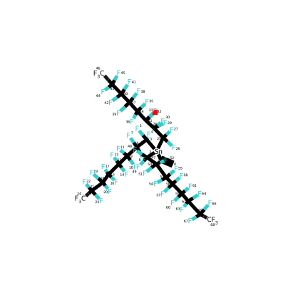 C#[C][Sn]([C](F)(F)C(F)(F)C(F)(F)C(F)(F)C(F)(F)C(F)(F)C(F)(F)C(F)(F)F)([C](F)(F)C(F)(F)C(F)(F)C(F)(F)C(F)(F)C(F)(F)C(F)(F)C(F)(F)F)[C](F)(F)C(F)(F)C(F)(F)C(F)(F)C(F)(F)C(F)(F)C(F)(F)C(F)(F)F